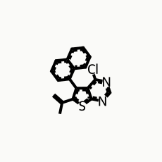 C=C(C)c1sc2ncnc(Cl)c2c1-c1cccc2ccccc12